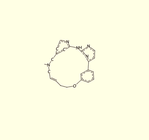 CN1C/C=C/CCOc2cccc(c2)-c2ccnc(n2)Nc2cc(ccn2)C1